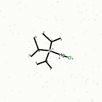 CC(C)[Si]([Hg][Cl])(C(C)C)C(C)C